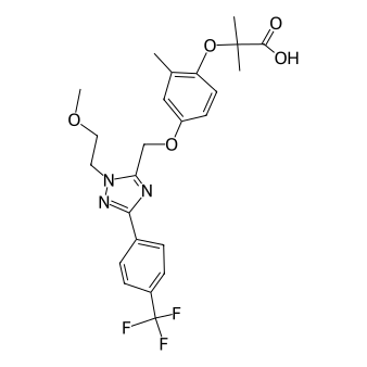 COCCn1nc(-c2ccc(C(F)(F)F)cc2)nc1COc1ccc(OC(C)(C)C(=O)O)c(C)c1